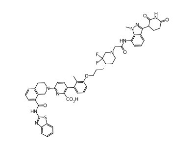 Cc1c(OCCC[C@H]2CCN(CC(=O)Nc3cccc4c(C5CCC(=O)NC5=O)nn(C)c34)CC2(F)F)cccc1-c1ccc(N2CCc3cccc(C(=O)Nc4nc5ccccc5s4)c3C2)nc1C(=O)O